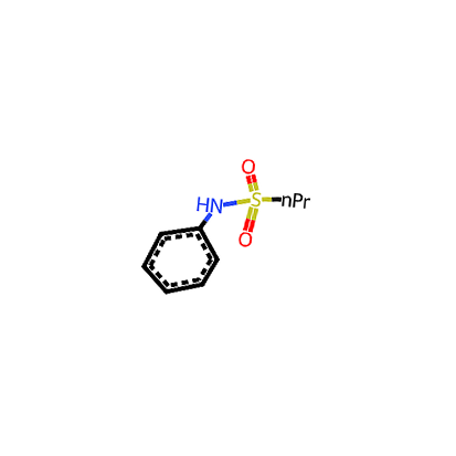 CCCS(=O)(=O)Nc1ccccc1